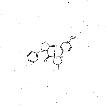 COc1ccc([C@H]2CNC[C@]2(F)C(=O)N2C(=O)OC[C@H]2c2ccccc2)cc1